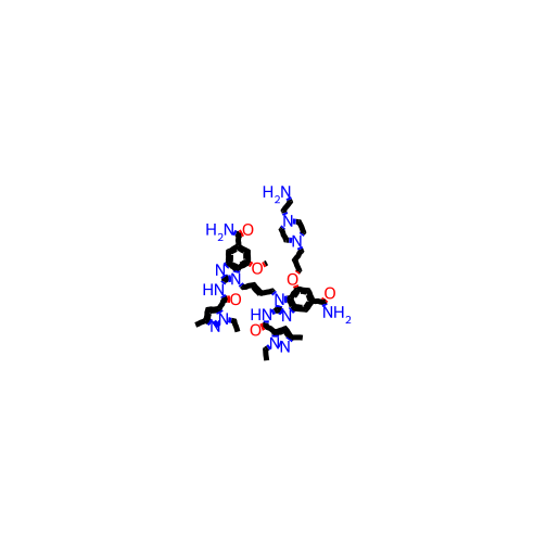 CCn1nc(C)cc1C(=O)Nc1nc2cc(C(N)=O)cc(OC)c2n1C/C=C/Cn1c(NC(=O)c2cc(C)nn2CC)nc2cc(C(N)=O)cc(OCCCN3CCN(CCN)CC3)c21